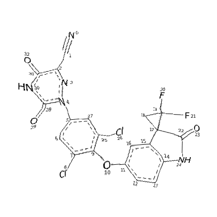 N#Cc1nn(-c2cc(Cl)c(Oc3ccc4c(c3)C3(CC3(F)F)C(=O)N4)c(Cl)c2)c(=O)[nH]c1=O